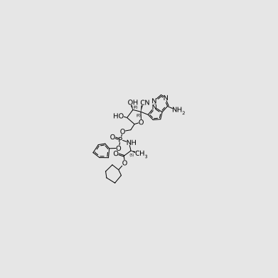 C[C@H](NP(=O)(OCC1O[C@@](C#N)(c2ccc3c(N)ncnn23)[C@H](O)C1O)Oc1ccccc1)C(=O)OC1CCCCC1